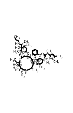 CCCNC[C@]1(O)[C@H](C)O[C@@H](O[C@H]2[C@H](C)[C@@H](O[C@@H]3O[C@H](C)C[C@H](N(C)C(=O)N(C)c4cc(C)n(C)n4)[C@H]3Oc3ccccc3)[C@](C)(O)C[C@@H](C)CN[C@H](C)[C@@H](O)[C@](C)(O)[C@@H](CC)OC(=O)[C@@H]2C)C[C@@]1(C)OC